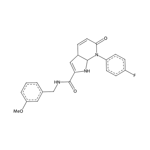 COc1cccc(CNC(=O)C2=CC3C=CC(=O)N(c4ccc(F)cc4)C3N2)c1